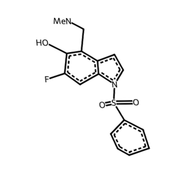 CNCc1c(O)c(F)cc2c1ccn2S(=O)(=O)c1ccccc1